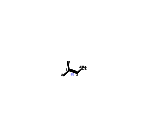 [CH2]/C(C)=C\CC